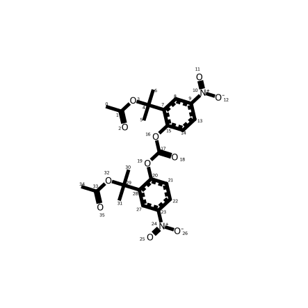 CC(=O)OC(C)(C)c1cc([N+](=O)[O-])ccc1OC(=O)Oc1ccc([N+](=O)[O-])cc1C(C)(C)OC(C)=O